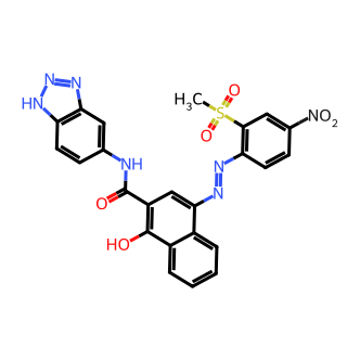 CS(=O)(=O)c1cc([N+](=O)[O-])ccc1N=Nc1cc(C(=O)Nc2ccc3[nH]nnc3c2)c(O)c2ccccc12